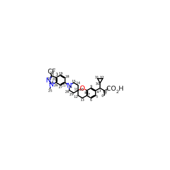 C[C@H](C(=O)O)C(c1ccc2c(c1)OC1(CC2)CCN(c2ccc3c(C(F)(F)F)nn(C)c3c2)CC1)C1CC1